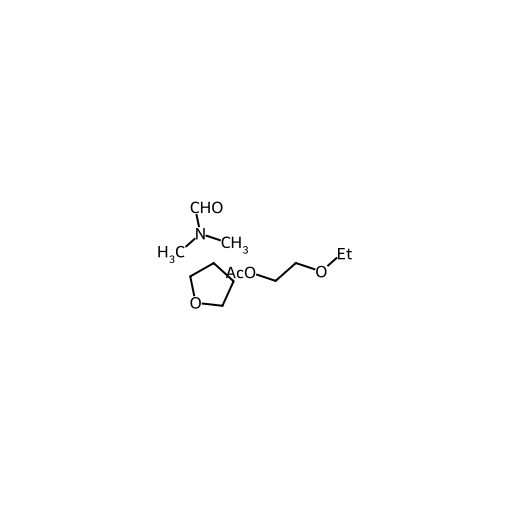 C1CCOC1.CCOCCOC(C)=O.CN(C)C=O